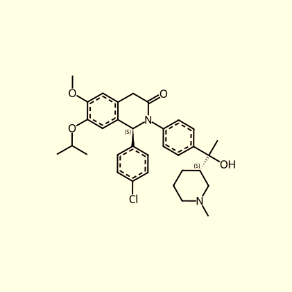 COc1cc2c(cc1OC(C)C)[C@H](c1ccc(Cl)cc1)N(c1ccc(C(C)(O)[C@H]3CCCN(C)C3)cc1)C(=O)C2